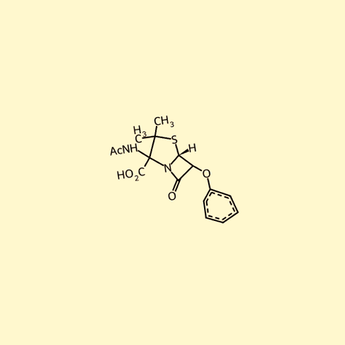 CC(=O)NC1(C(=O)O)N2C(=O)C(Oc3ccccc3)[C@H]2SC1(C)C